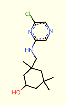 CC1(C)CC(O)CC(C)(CNc2cncc(Cl)n2)C1